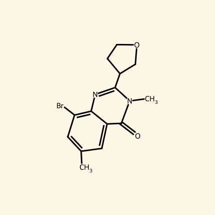 Cc1cc(Br)c2nc(C3CCOC3)n(C)c(=O)c2c1